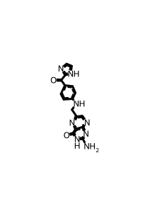 Nc1nc2ncc(CNc3ccc(C(=O)c4ncc[nH]4)cc3)nc2c(=O)[nH]1